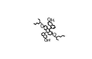 CCCCC(CC)COc1ccc2c(-c3cccc4cc(O)ccc34)c3cc(OCC(CC)CCCC)ccc3c(-c3cccc4cc(O)ccc34)c2c1